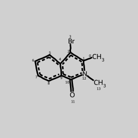 Cc1c(Br)c2ccccc2c(=O)n1C